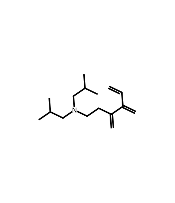 C=CC(=C)C(=C)CCN(CC(C)C)CC(C)C